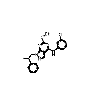 CCSc1nc(Nc2cccc(Cl)c2)c2cnn(CC(C)c3ccccc3)c2n1